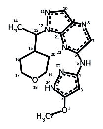 COc1cc(Nc2cnc3cnn(C(C)C4CCOCC4)c3n2)n[nH]1